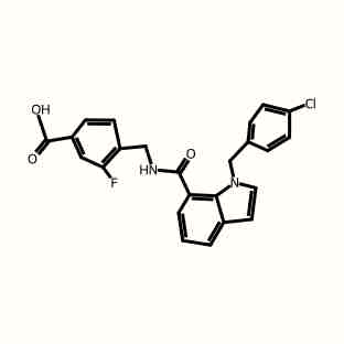 O=C(O)c1ccc(CNC(=O)c2cccc3ccn(Cc4ccc(Cl)cc4)c23)c(F)c1